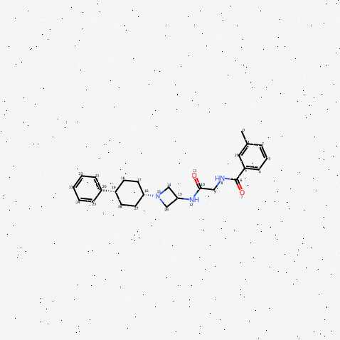 Cc1cccc(C(=O)NCC(=O)NC2CN([C@H]3CC[C@@H](c4ccccc4)CC3)C2)c1